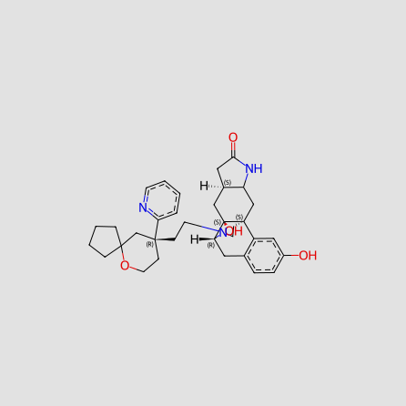 O=C1C[C@@H]2C[C@@]3(O)[C@H]4Cc5ccc(O)cc5[C@]3(CCN4CC[C@@]3(c4ccccn4)CCOC4(CCCC4)C3)CC2N1